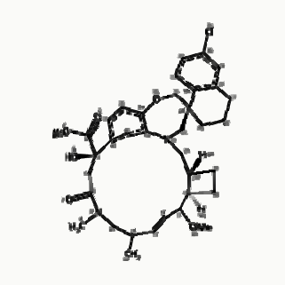 COC(=O)[C@@]1(O)CC(=O)N(C)CC(C)/C=C/C(OC)[C@@H]2CC[C@H]2CN2C[C@@]3(CCCc4cc(Cl)ccc43)COc3ccc1cc32